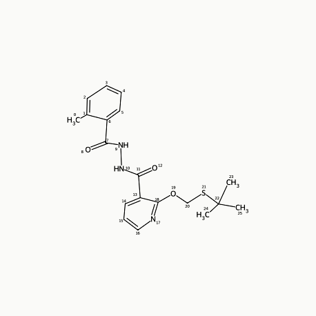 Cc1ccccc1C(=O)NNC(=O)c1cccnc1OCSC(C)(C)C